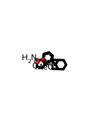 COC1(c2cccc(C(N)=O)c2)C2CCCC1CN(C1CCOC1)C2